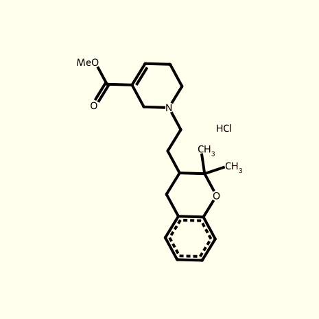 COC(=O)C1=CCCN(CCC2Cc3ccccc3OC2(C)C)C1.Cl